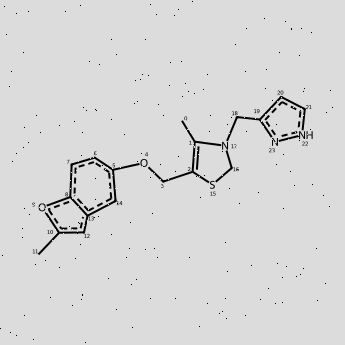 CC1=C(COc2ccc3oc(C)cc3c2)SCN1Cc1cc[nH]n1